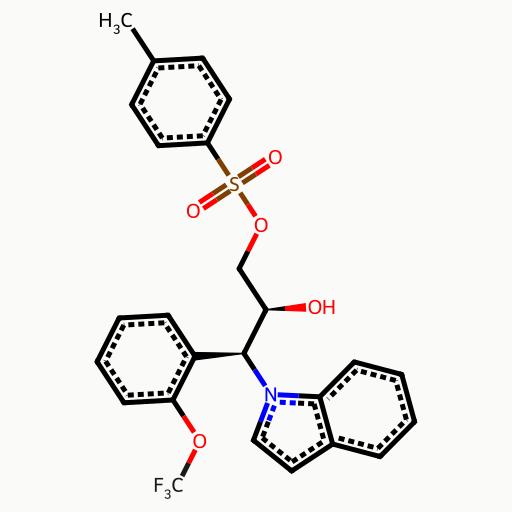 Cc1ccc(S(=O)(=O)OC[C@@H](O)[C@H](c2ccccc2OC(F)(F)F)n2ccc3ccccc32)cc1